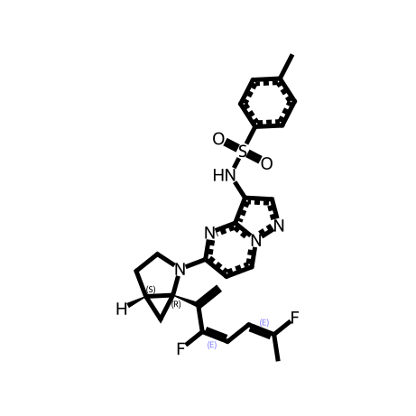 C=C(/C(F)=C\C=C(/C)F)[C@@]12C[C@@H]1CCN2c1ccn2ncc(NS(=O)(=O)c3ccc(C)cc3)c2n1